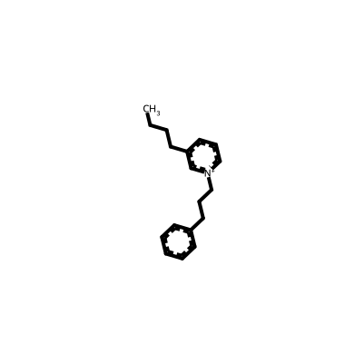 CCCCc1ccc[n+](CCCc2ccccc2)c1